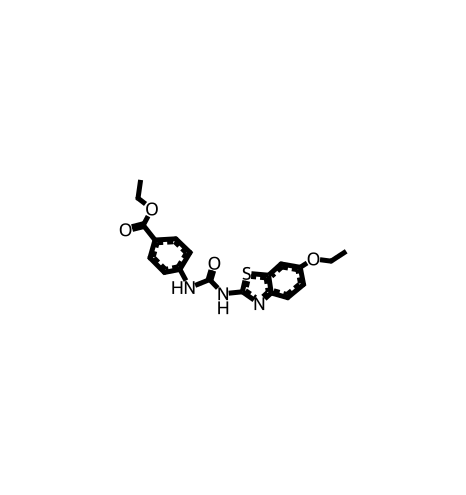 CCOC(=O)c1ccc(NC(=O)Nc2nc3ccc(OCC)cc3s2)cc1